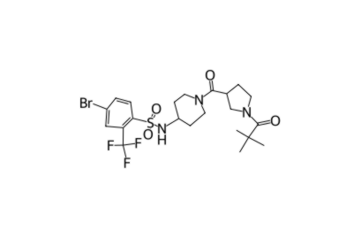 CC(C)(C)C(=O)N1CCC(C(=O)N2CCC(NS(=O)(=O)c3ccc(Br)cc3C(F)(F)F)CC2)C1